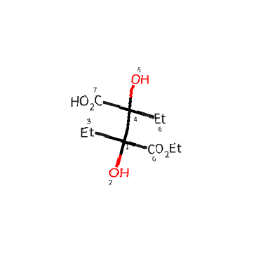 CCOC(=O)C(O)(CC)C(O)(CC)C(=O)O